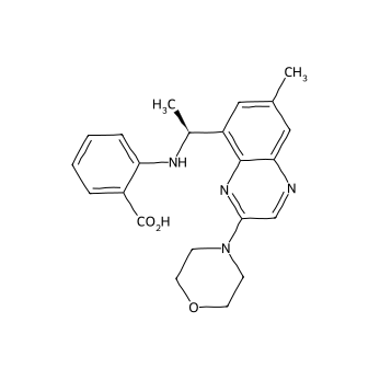 Cc1cc([C@H](C)Nc2ccccc2C(=O)O)c2nc(N3CCOCC3)cnc2c1